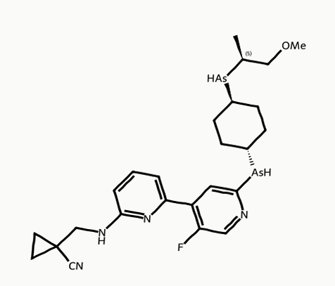 COC[C@H](C)[AsH][C@H]1CC[C@H]([AsH]c2cc(-c3cccc(NCC4(C#N)CC4)n3)c(F)cn2)CC1